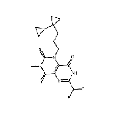 Cn1c(=O)c2nc(C(F)F)[nH]c(=O)c2n(CCCC2(C3CC3)CC2)c1=O